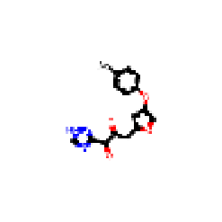 CC(=O)c1ccc(Oc2coc(CC(=O)C(=O)c3nc[nH]n3)c2)cc1